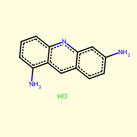 Cl.Nc1ccc2cc3c(N)cccc3nc2c1